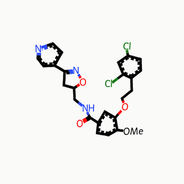 COc1ccc(C(=O)NCC2CC(c3ccncc3)=NO2)cc1OCCc1ccc(Cl)cc1Cl